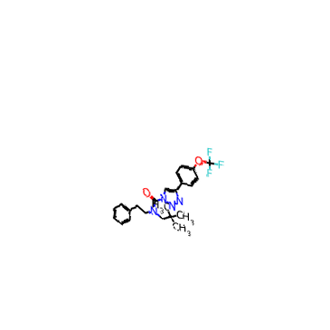 CC(C)(C)CN(CCc1ccccc1)C(=O)n1cc(-c2ccc(OC(F)(F)F)cc2)nn1